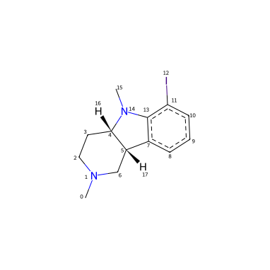 CN1CC[C@H]2[C@@H](C1)c1cccc(I)c1N2C